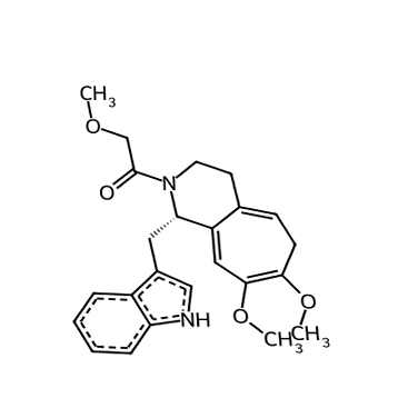 COCC(=O)N1CCC2=CCC(OC)=C(OC)C=C2[C@@H]1Cc1c[nH]c2ccccc12